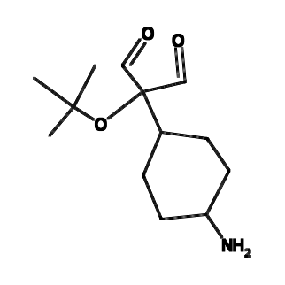 CC(C)(C)OC(C=O)(C=O)C1CCC(N)CC1